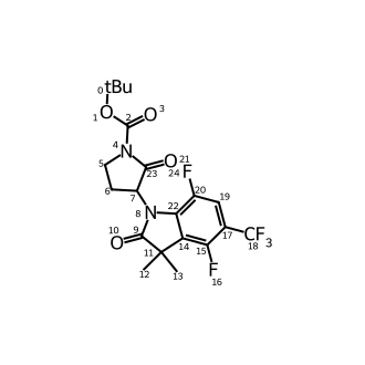 CC(C)(C)OC(=O)N1CCC(N2C(=O)C(C)(C)c3c(F)c(C(F)(F)F)cc(F)c32)C1=O